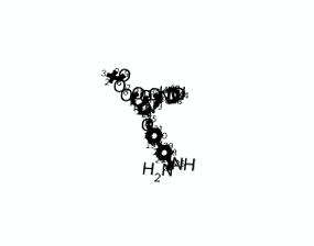 CC(C)(C)C(=O)OCOC(=O)C[C@@H]1C[C@@H](COc2ccc(-c3ccc(C(=N)N)cc3)cc2)N(CC(=O)N2CCOCC2)C1=O.Cl